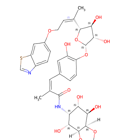 CC(=Cc1ccc(O[C@@H]2O[C@H](/C(C)=C\COc3ccc4ncsc4c3)[C@@H](O)[C@@H]2O)c(O)c1)C(=O)N[C@@H]1[C@H](O)[C@@H](O)[C@H]2OCO[C@H]2[C@@H]1O